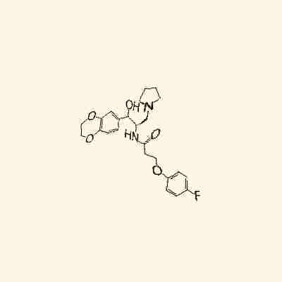 O=C(CCOc1ccc(F)cc1)N[C@H](CN1CCCC1)[C@H](O)c1ccc2c(c1)OCCO2